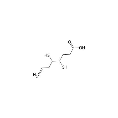 C=CCC(S)C(S)CCC(=O)O